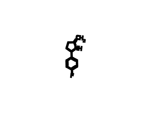 C=C1CCC(c2ccc(F)cc2)N1